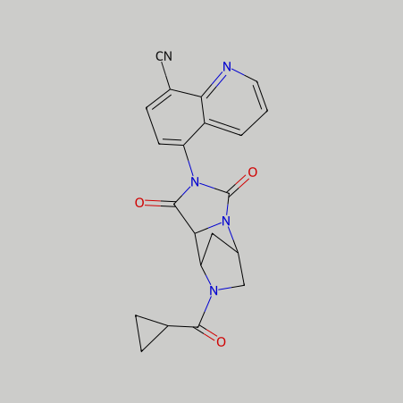 N#Cc1ccc(N2C(=O)C3C4CC(CN4C(=O)C4CC4)N3C2=O)c2cccnc12